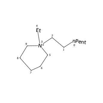 CCCCCCC[N+]1(CC)CCCCC1